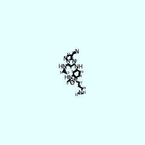 CC(=O)Nc1cc(Nc2cc(NC3CC3)n3ncc(C#N)c3n2)ccc1NCCCN(C)C